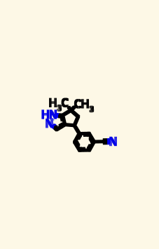 CC1(C)CC(c2cccc(C#N)c2)c2cn[nH]c21